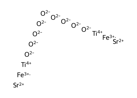 [Fe+3].[Fe+3].[O-2].[O-2].[O-2].[O-2].[O-2].[O-2].[O-2].[O-2].[O-2].[Sr+2].[Sr+2].[Ti+4].[Ti+4]